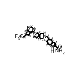 NC(=O)c1cc2cc(CN3CCC4(CC3)CCN(c3ncnc5sc(CC(F)(F)F)cc35)C4)ccc2[nH]1